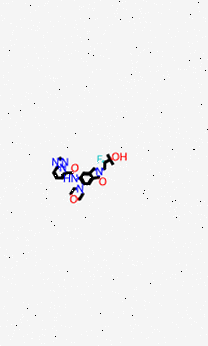 CC(C)(O)C(F)CN1Cc2cc(NC(=O)c3cccc4ncnn34)c(N3CCOCC3)cc2C1=O